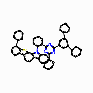 c1ccc(-c2cc(-c3ccccc3)cc(-c3nc(-c4ccccc4)nc(-c4ccccc4-n4c5ccccc5c5ccc6c7cccc(-c8ccccc8)c7sc6c54)n3)c2)cc1